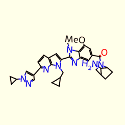 COc1cc(C(=O)N2CC3CCC2C3N)cc2nc(-c3cc4ccc(-c5cnn(C6CC6)c5)nc4n3CC3CC3)n(C)c12